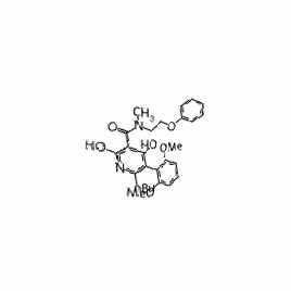 CCCCc1nc(O)c(C(=O)N(C)CCOc2ccccc2)c(O)c1-c1c(OC)cccc1OC